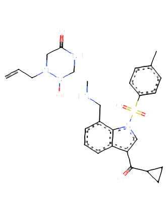 C=CCN1CC(=O)N[C@H](CNCc2cccc3c(C(=O)C4CC4)cn(S(=O)(=O)c4ccc(C)cc4)c23)N1O